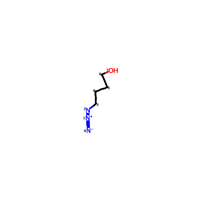 [N-]=[N+]=NCCCCO